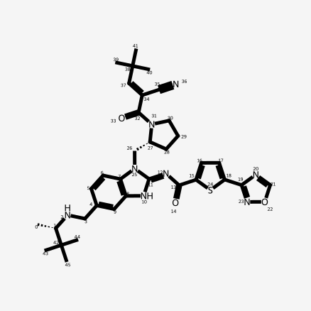 C[C@H](NCc1ccc2c(c1)[nH]c(=NC(=O)c1ccc(-c3ncon3)s1)n2C[C@H]1CCCN1C(=O)C(C#N)=CC(C)(C)C)C(C)(C)C